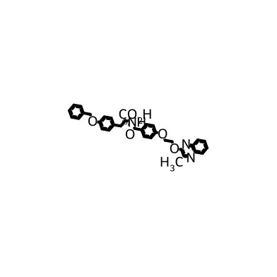 Cc1nc2ccccc2nc1OCCOc1ccc(C(=O)N[C@@H](Cc2ccc(OCc3ccccc3)cc2)C(=O)O)cc1